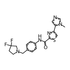 Cn1cncc1-c1csc(C(=O)Nc2ccc(CN3CCC(F)(F)C3)cc2)n1